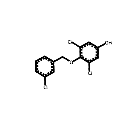 Oc1cc(Cl)c(OCc2cccc(Cl)c2)c(Cl)c1